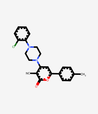 Cc1ccc(-c2cc(N3CCN(c4ccccc4Cl)CC3)c(C#N)c(=O)o2)cc1